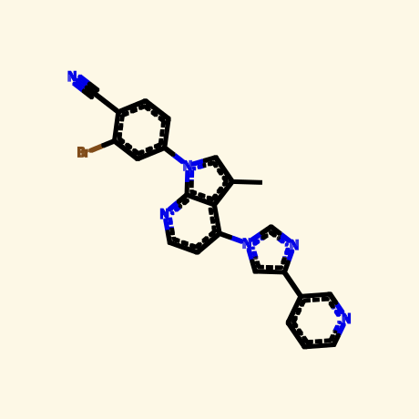 Cc1cn(-c2ccc(C#N)c(Br)c2)c2nccc(-n3cnc(-c4cccnc4)c3)c12